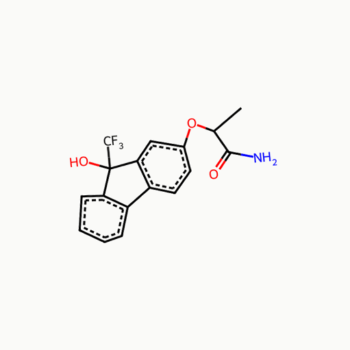 CC(Oc1ccc2c(c1)C(O)(C(F)(F)F)c1ccccc1-2)C(N)=O